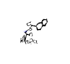 CCCCCCCCNC(=O)/C=C\SC(=O)C1CCc2ccccc2C1